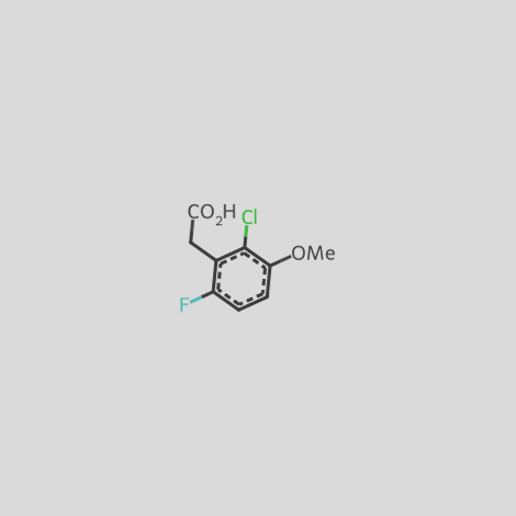 COc1ccc(F)c(CC(=O)O)c1Cl